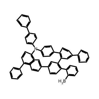 Bc1ccccc1-c1ccc(-c2ccccc2)cc1-c1cc(-c2ccccc2)ccc1-c1ccc(N(c2ccc(-c3ccccc3)cc2)c2ccc(-c3ccccc3)cc2)cc1